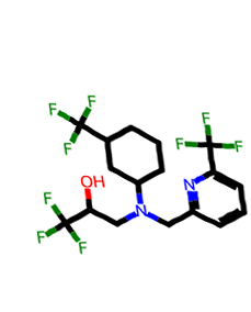 OC(CN(Cc1cccc(C(F)(F)F)n1)C1CCCC(C(F)(F)F)C1)C(F)(F)F